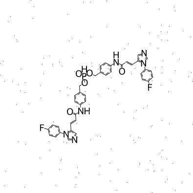 O=C(/C=C/c1cncn1-c1ccc(F)cc1)Nc1ccc(CO[PH](=O)OCc2ccc(NC(=O)/C=C/c3cncn3-c3ccc(F)cc3)cc2)cc1